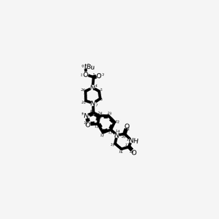 CC(C)(C)OC(=O)N1CCN(c2noc3cc(N4CCC(=O)NC4=O)ccc23)CC1